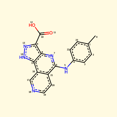 Cc1ccc(Nc2nc3c(C(=O)O)n[nH]c3c3cnccc23)cc1